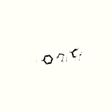 Oc1ccc([C@@H]2CC(Oc3cncnc3)=NO2)cc1